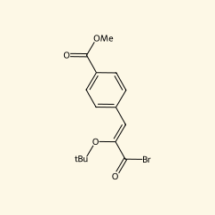 COC(=O)c1ccc(C=C(OC(C)(C)C)C(=O)Br)cc1